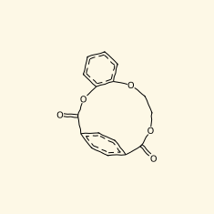 O=C1OCCOc2ccccc2OC(=O)c2ccc1cc2